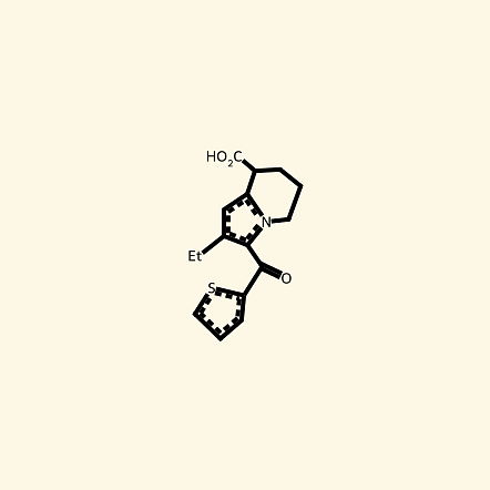 CCc1cc2n(c1C(=O)c1cccs1)CCCC2C(=O)O